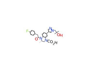 C[C@H]1CN(C(=O)O)c2cc(-c3cnn(CC(C)(C)O)c3)ccc2N1C(=O)Cc1ccc(F)cc1